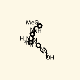 COc1ccccc1Cc1nc2ccc(-c3nn(C4CCC(N5CCN(CCO)CC5)CC4)c4ncnc(N)c34)cc2[nH]1